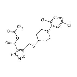 O=C(OC(=O)C(F)(F)F)c1[nH]nnc1CSC1CCN(c2cc(Cl)ccc2Cl)CC1